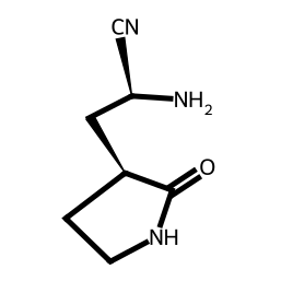 N#C[C@@H](N)C[C@@H]1CCNC1=O